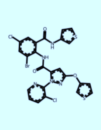 O=C(Nc1ccsc1)c1cc(Cl)cc(Br)c1NC(=O)c1cc(Oc2ccsc2)nn1-c1ncccc1Cl